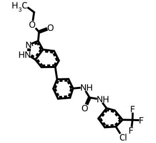 CCOC(=O)c1n[nH]c2cc(-c3cccc(NC(=O)Nc4ccc(Cl)c(C(F)(F)F)c4)c3)ccc12